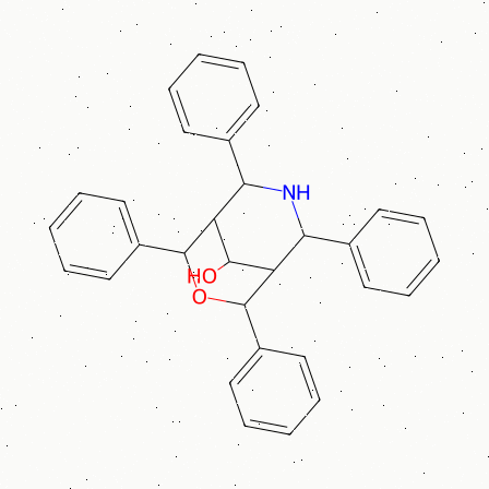 OC1C2C(c3ccccc3)NC(c3ccccc3)C1C(c1ccccc1)OC2c1ccccc1